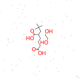 CC(C)(C)CC(CCCC(=O)O)C(=O)O.OCCO